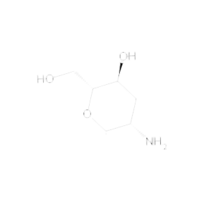 N[C@@H]1[CH]O[C@H](CO)[C@@H](O)C1